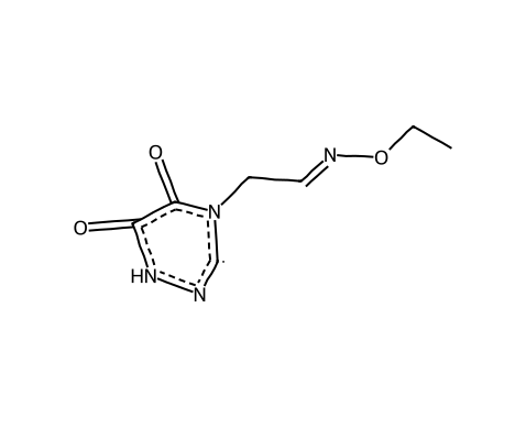 CCON=CCn1[c]n[nH]c(=O)c1=O